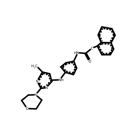 Cc1cc(Nc2ccc(NC(=O)Cc3cccc4ccccc34)cc2)nc(N2CCOCC2)n1